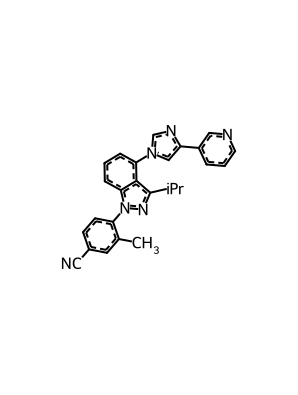 Cc1cc(C#N)ccc1-n1nc(C(C)C)c2c(-n3cnc(-c4cccnc4)c3)cccc21